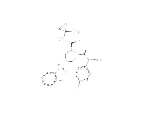 CC(C)C(C(=O)N1C[C@H](S(=O)(=O)c2ccccc2Cl)C[C@H]1C(=O)NC1(C#N)CC1)c1ccc(Cl)cc1